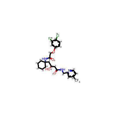 O=C(CC(O)CC1(NC(=O)COc2ccc(Cl)c(F)c2)CCCCC1)NCc1cc(C(F)(F)F)ccn1